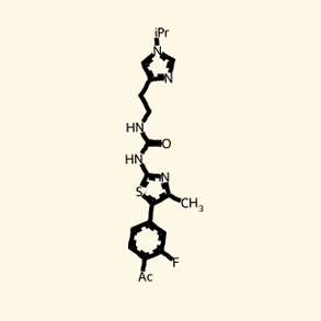 CC(=O)c1ccc(-c2sc(NC(=O)NCCc3cn(C(C)C)cn3)nc2C)cc1F